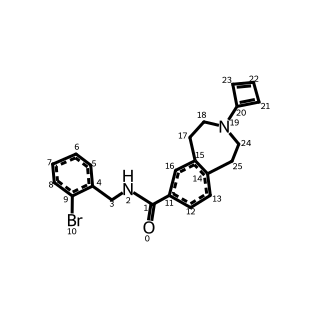 O=C(NCc1ccccc1Br)c1ccc2c(c1)CCN(C1=CC=C1)CC2